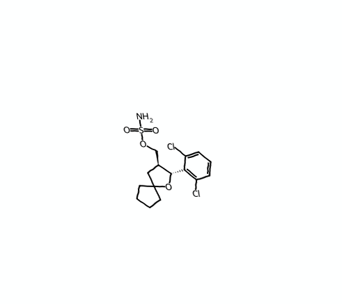 NS(=O)(=O)OC[C@@H]1CC2(CCCC2)O[C@H]1c1c(Cl)cccc1Cl